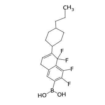 CCCC1CCC(C2=CCc3cc(B(O)O)c(F)c(F)c3C2(F)F)CC1